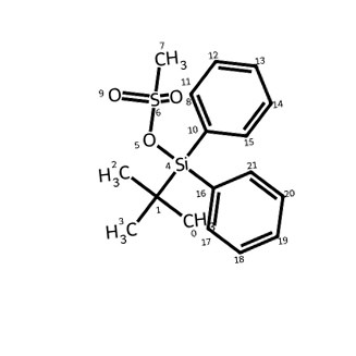 CC(C)(C)[Si](OS(C)(=O)=O)(c1ccccc1)c1ccccc1